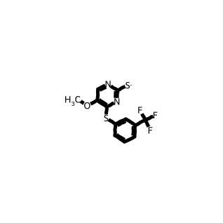 COc1cnc([S])nc1Sc1cccc(C(F)(F)F)c1